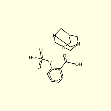 C1N2CN3CN1CN(C2)C3.O=C(O)c1ccccc1OS(=O)(=O)O